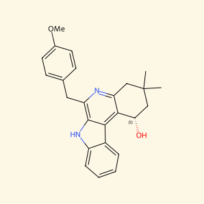 COc1ccc(Cc2nc3c(c4c2[nH]c2ccccc24)[C@@H](O)CC(C)(C)C3)cc1